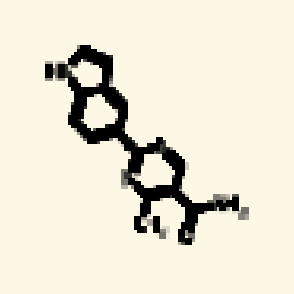 Cc1nc(-c2ccc3[nH]ccc3c2)ncc1C(N)=O